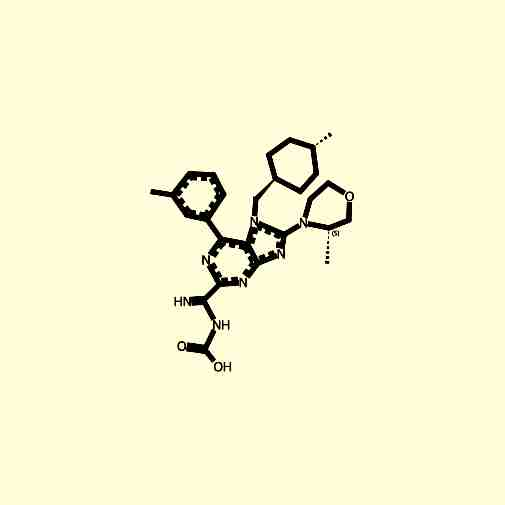 Cc1cccc(-c2nc(C(=N)NC(=O)O)nc3nc(N4CCOC[C@@H]4C)n(C[C@H]4CC[C@H](C)CC4)c23)c1